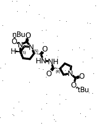 CCCCON1C(=O)N2C[C@@H]1CC[C@H]2C(=O)NNC(=O)[C@@H]1CCN(C(=O)OC(C)(C)C)C1